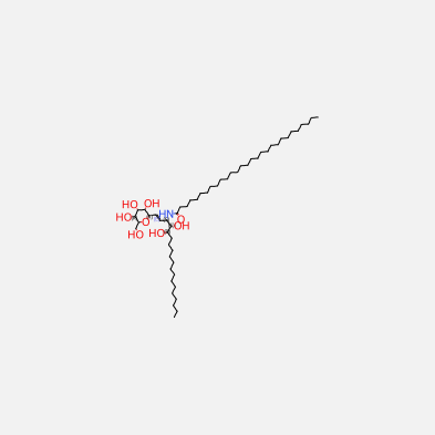 CCCCCCCCCCCCCCCCCCCCCCCCCCCCC(=O)N[C@@H](/C=C/[C@H]1OC(CO)[C@H](O)C(O)C1O)[C@H](O)[C@H](O)CCCCCCCCCCCCCC